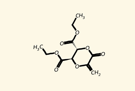 C=C1O[C@@H](C(=O)OCC)[C@H](C(=O)OCC)OC1=O